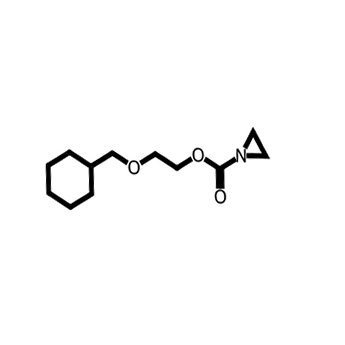 O=C(OCCOCC1CCCCC1)N1CC1